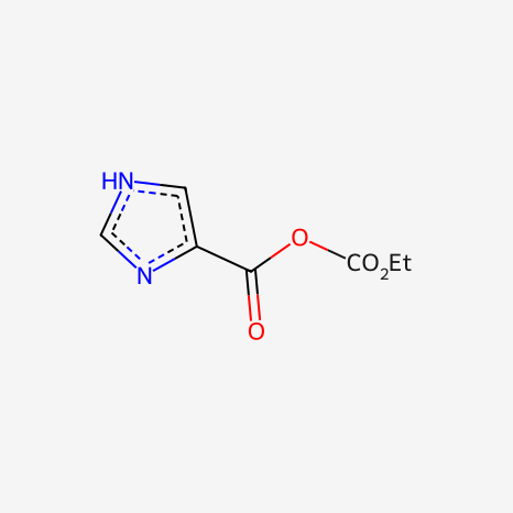 CCOC(=O)OC(=O)c1c[nH]cn1